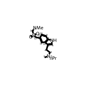 CCCN(C)CCc1c[nH]c2ccc(CS(=O)(=O)CNC)cc12